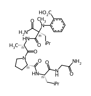 CC(C)C[C@H](NC(=O)[C@@H]1CCCN1C(=O)[C@H](C)NC(=O)[C@@](CC(C)C)(C(N)=O)N(C)c1ccccc1C(=O)O)C(=O)NCC(N)=O